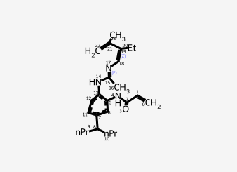 C=CC(=O)Nc1cc(C(CCC)CCC)ccc1N/C(C)=N/C=C(/CC)C(=C)C